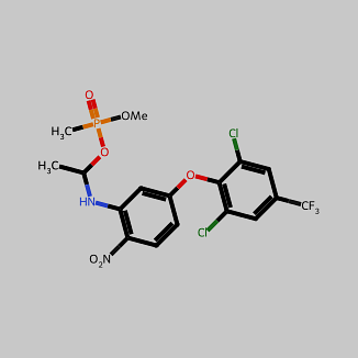 COP(C)(=O)OC(C)Nc1cc(Oc2c(Cl)cc(C(F)(F)F)cc2Cl)ccc1[N+](=O)[O-]